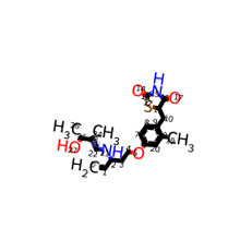 C=CC(CCOc1ccc(CC2SC(=O)NC2=O)c(C)c1)N/C=C(\C)C(C)O